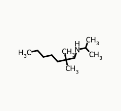 CCCCCC(C)(C)CNC(C)C